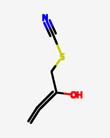 C=C=C(O)CSC#N